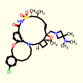 CO[C@@]1(CN2CC(C)(N(C)C)C2)/C=C/C[C@H](C)[C@@H](C)S(=O)(=O)NC(=O)c2ccc3c(c2)N(CCCCc2cc(Cl)ccc2CO3)C[C@@H]2CC[C@H]21